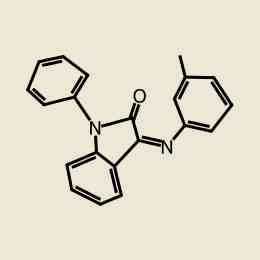 Cc1cccc(/N=C2\C(=O)N(c3ccccc3)c3ccccc32)c1